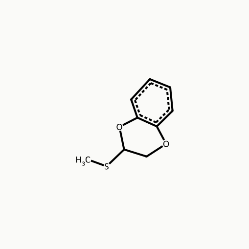 CSC1COc2ccccc2O1